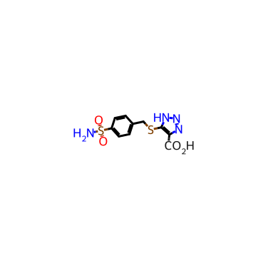 NS(=O)(=O)c1ccc(CSc2[nH]nnc2C(=O)O)cc1